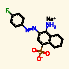 Nc1c(N=Nc2ccc(F)cc2)cc(S(=O)(=O)[O-])c2ccccc12.[Na+]